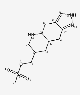 CS(=O)(=O)OCC1CNC2Cc3c[nH]nc3CC2C1